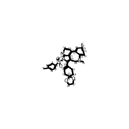 Cc1ccc(S(=O)(=O)n2c(C3=CCC4(CC3)OCCO4)c3c4c(ccnc42)-c2cc(F)ccc2N(C)C3)cc1